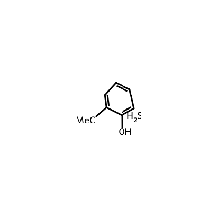 COc1ccccc1O.S